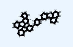 c1ccc2c(c1)-c1ccc(-c3ccc(-c4ccc5c(c4)-c4cccc6cccc(c46)S5)cc3)cc1C21c2ccccc2-c2c1ccc1ccccc21